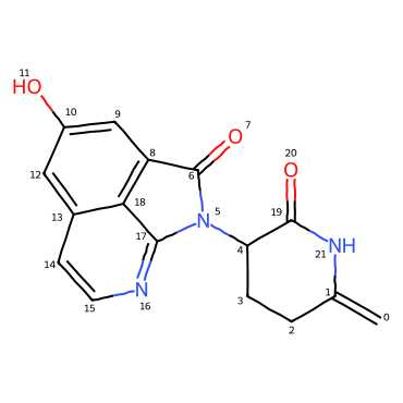 C=C1CCC(N2C(=O)c3cc(O)cc4ccnc2c34)C(=O)N1